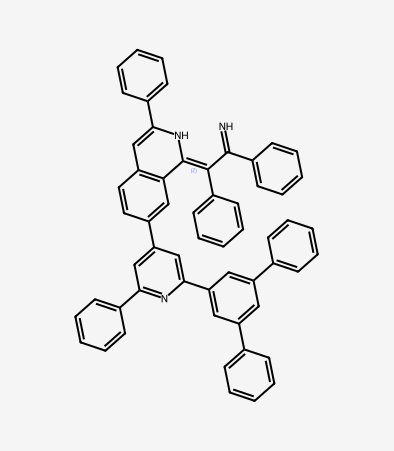 N=C(/C(=C1\NC(c2ccccc2)=Cc2ccc(-c3cc(-c4ccccc4)nc(-c4cc(-c5ccccc5)cc(-c5ccccc5)c4)c3)cc21)c1ccccc1)c1ccccc1